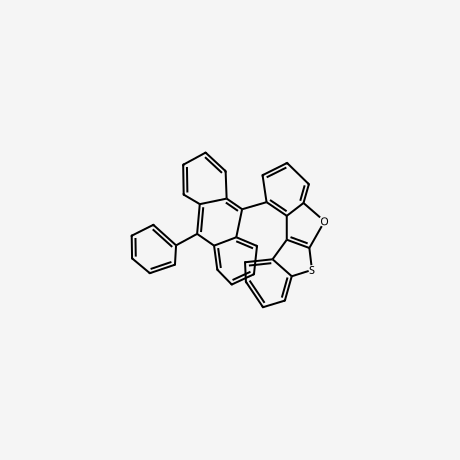 c1ccc(-c2c3ccccc3c(-c3cccc4oc5sc6ccccc6c5c34)c3ccccc23)cc1